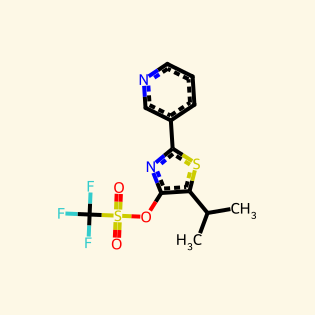 CC(C)c1sc(-c2cccnc2)nc1OS(=O)(=O)C(F)(F)F